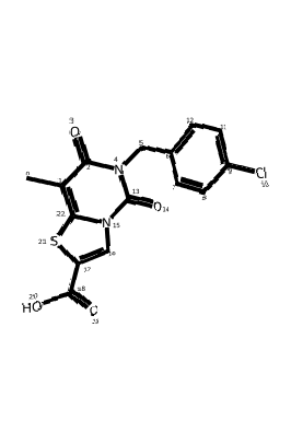 Cc1c(=O)n(Cc2ccc(Cl)cc2)c(=O)n2cc(C(=O)O)sc12